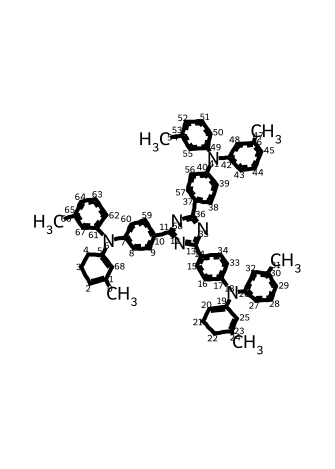 CC1=CCCC(N(c2ccc(-c3nc(-c4ccc(N(C5=CCCC(C)=C5)c5cccc(C)c5)cc4)nc(-c4ccc(N(c5cccc(C)c5)c5cccc(C)c5)cc4)n3)cc2)c2cccc(C)c2)=C1